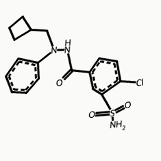 NS(=O)(=O)c1cc(C(=O)NN(CC2CCC2)c2ccccc2)ccc1Cl